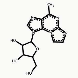 Cc1nc2nccn2c2c1ncn2C1OC(CO)C(O)C1O